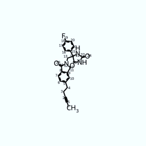 CC#CCCc1ccc2c(c1)CN(CC1(c3ccc(F)cc3)NC(=O)NC1=O)C2=O